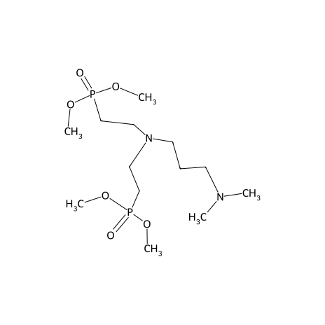 COP(=O)(CCN(CCCN(C)C)CCP(=O)(OC)OC)OC